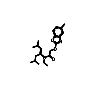 CCN(C(=O)COc1nc2cc(C)ccc2o1)C(=CC(C)C)CC(C)C